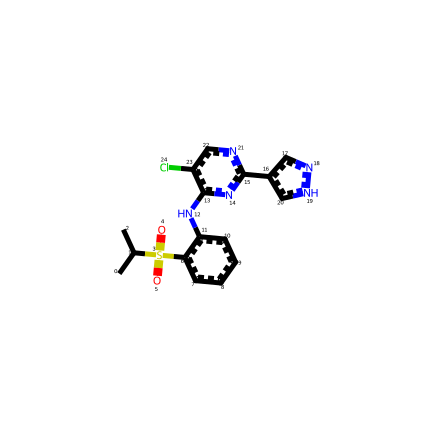 CC(C)S(=O)(=O)c1ccccc1Nc1nc(-c2cn[nH]c2)ncc1Cl